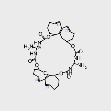 NC1NC(=O)OC2CC/C=C/C3=C(C2)C(CCC/C=C/3)OC(=O)N[C@H](N)NC(=O)OC2CC/C=C/C3=C(C2)C(CCC/C=C/3)OC(=O)N1